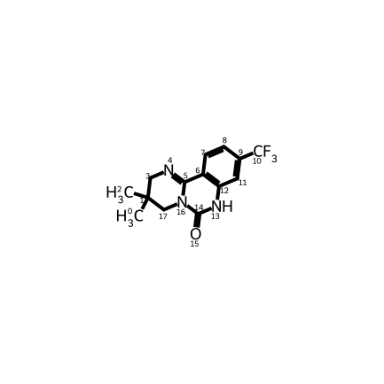 CC1(C)CN=C2c3ccc(C(F)(F)F)cc3NC(=O)N2C1